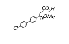 CO/N=C(\CCC(=O)O)c1ccc(-c2ccc(Cl)cc2)cc1